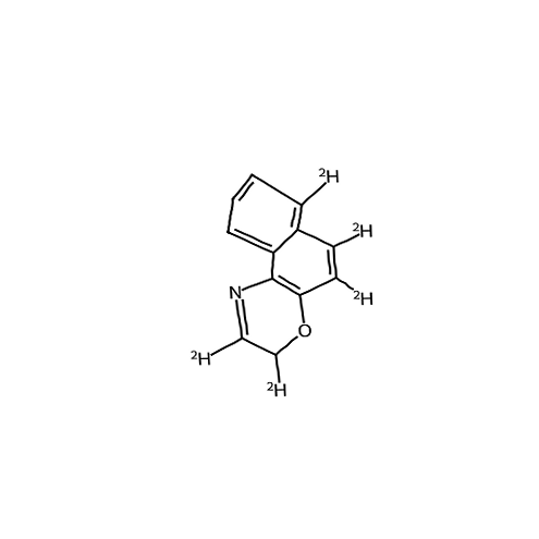 [2H]C1=Nc2c(c([2H])c([2H])c3c([2H])cccc23)OC1[2H]